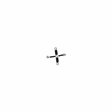 [O]=[Cr](=[O])([Br])[Br]